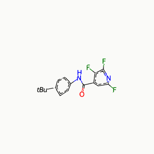 CC(C)(C)c1ccc(NC(=O)c2cc(F)nc(F)c2F)cc1